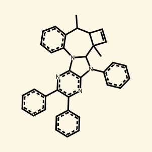 CC1c2ccccc2N2c3nc(-c4ccccc4)c(-c4ccccc4)nc3N(c3ccccc3)C2C2(C)C=CC12